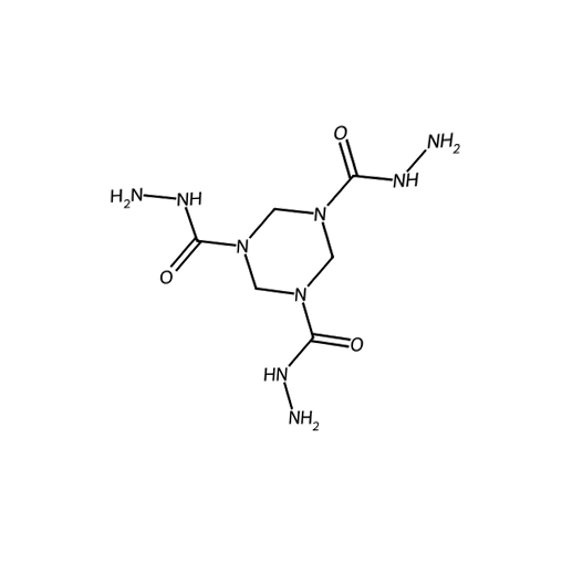 NNC(=O)N1CN(C(=O)NN)CN(C(=O)NN)C1